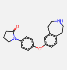 O=C1CCCN1c1ccc(Oc2ccc3c(c2)CCNCC3)cc1